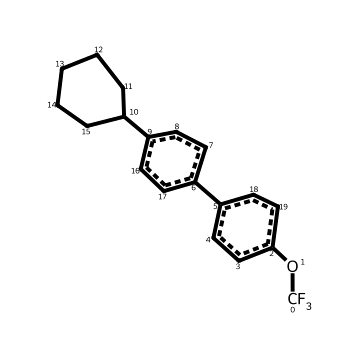 FC(F)(F)Oc1ccc(-c2ccc(C3CCCCC3)cc2)cc1